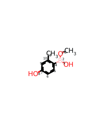 COB(O)c1ccc(O)cc1C